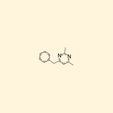 Cc1cc(Cc2ccccc2)nc(C)n1